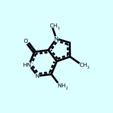 Cc1cn(C)c2c(=O)[nH]nc(N)c12